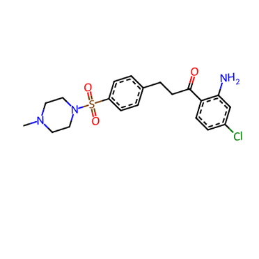 CN1CCN(S(=O)(=O)c2ccc(CCC(=O)c3ccc(Cl)cc3N)cc2)CC1